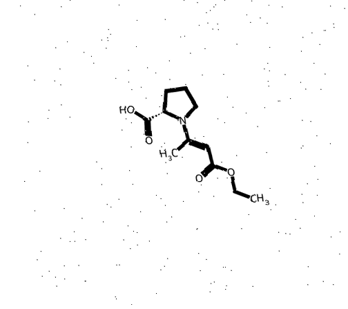 CCOC(=O)/C=C(\C)N1CCC[C@H]1C(=O)O